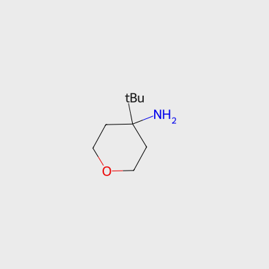 CC(C)(C)C1(N)CCOCC1